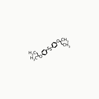 CCC(C)Oc1ccc(SSc2ccc(OC(C)CC)cc2)cc1